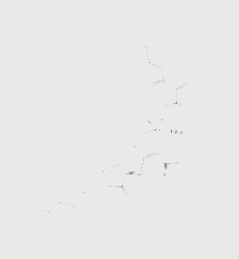 O=C(O)C1=C(/C=C2\CCN(CCNCCO)C2=O)CS[C@@H]2[C@H](NC(=O)/C(=N\O)c3nsc([AsH2])n3)C(=O)N12